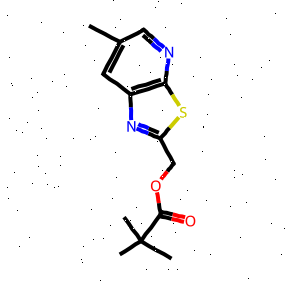 Cc1cnc2sc(COC(=O)C(C)(C)C)nc2c1